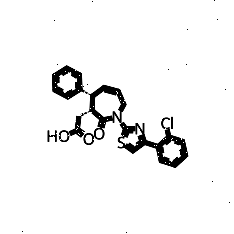 O=C(O)C[C@H]1C(=O)N(c2nc(-c3ccccc3Cl)cs2)CC=C[C@H]1c1ccccc1